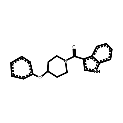 O=C(c1c[nH]c2ccccc12)N1CCC(Oc2ccccc2)CC1